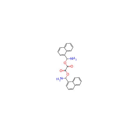 NC(OC(=O)C(=O)OC(N)c1cccc2ccccc12)c1cccc2ccccc12